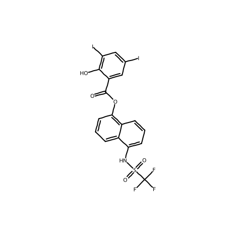 O=C(Oc1cccc2c(NS(=O)(=O)C(F)(F)F)cccc12)c1cc(I)cc(I)c1O